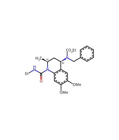 CCNC(=O)N1c2cc(OC)c(OC)cc2[C@H](N(Cc2ccccc2)C(=O)OCC)C[C@@H]1C